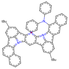 CC(C)(C)c1cc2c3cc4c(nc3n3c5c(N(c6ccccc6)c6ccccc6)c6ccccc6cc5c(c1)c23)c1cc(C(C)(C)C)cc2c3ccc5ccccc5c3n4c21